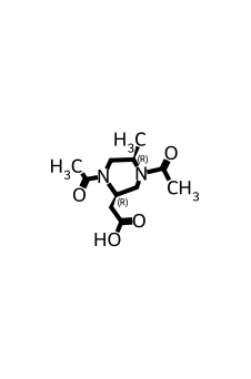 CC(=O)N1C[C@@H](C)N(C(C)=O)C[C@H]1CC(=O)O